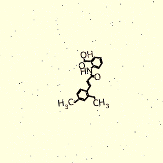 CCc1ccc(/C=C/C(=O)Nc2ccccc2C(=O)O)c(CC)c1